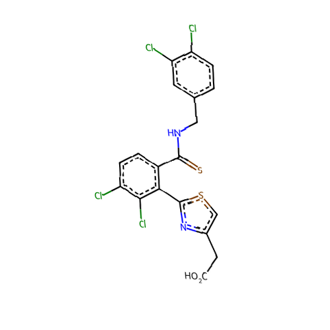 O=C(O)Cc1csc(-c2c(C(=S)NCc3ccc(Cl)c(Cl)c3)ccc(Cl)c2Cl)n1